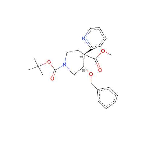 COC(=O)[C@@]1(c2ccccn2)CCN(C(=O)OC(C)(C)C)C[C@H]1OCc1ccccc1